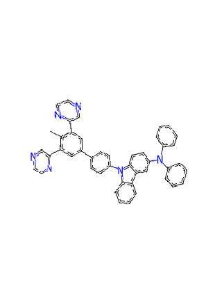 Cc1c(-c2cnccn2)cc(-c2ccc(-n3c4ccccc4c4cc(N(c5ccccc5)c5ccccc5)ccc43)cc2)cc1-c1cnccn1